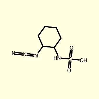 [N-]=[N+]=NC1CCCCC1NS(=O)(=O)O